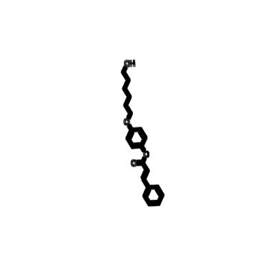 O=C(/C=C/c1ccccc1)Oc1ccc(OCCCCCCO)cc1